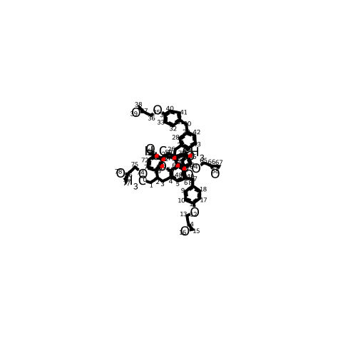 CCC(Cc1cc(Cc2ccc(OCC3CO3)cc2)cc(C(CC)(CC)Cc2cc(Cc3ccc(OCC4CO4)cc3)ccc2OCC2CO2)c1OCC1CO1)c1cc(Cc2ccc(OCC3CO3)cc2)ccc1OCC1CO1